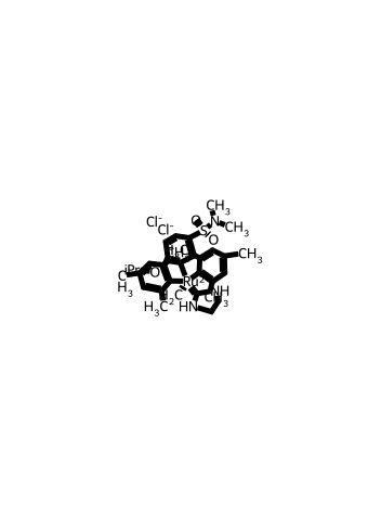 [CH2]=[Ru+2](=[C]1NCCN1)([c]1cc(S(=O)(=O)N(C)C)ccc1OC(C)C)([c]1c(C)cc(C)cc1C)[c]1c(C)cc(C)cc1C.[Cl-].[Cl-]